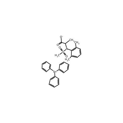 Cc1cccc(C)c1N(C(C)C(=O)[O-])S(C)(=O)=O.c1cc[c]([Sn+]([c]2ccccc2)[c]2ccccc2)cc1